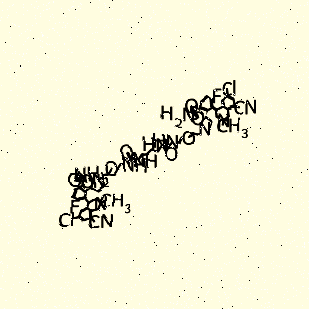 CN1Cc2c(C#N)cc(Cl)cc2C(c2c(F)ccc(S(N)(=O)=O)c2[C@@H]2CCN(CCOCCNC(=O)NCCCCNC(=O)NCCOCCN3CC[C@@H](c4c(S(N)(=O)=O)ccc(F)c4C4CN(C)Cc5c(C#N)cc(Cl)cc54)C3)C2)C1